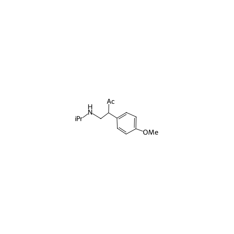 COc1ccc(C(CNC(C)C)C(C)=O)cc1